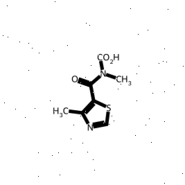 Cc1n[c]sc1C(=O)N(C)C(=O)O